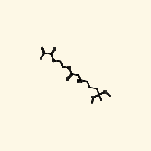 C=C(C)C(=O)OCCOC(=O)CNCCC[Si](C)(OC)OC